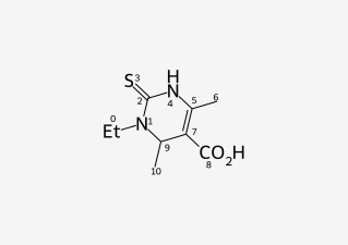 CCN1C(=S)NC(C)=C(C(=O)O)C1C